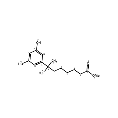 COC(=O)CCCCCC(C)(C)c1cc(O)cc(O)c1